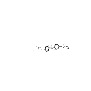 CCC(CC)(c1ccc(CCC2(O)CCC2)c(C)c1)c1ccc(OC[C@@H](O)CO)c(C)c1